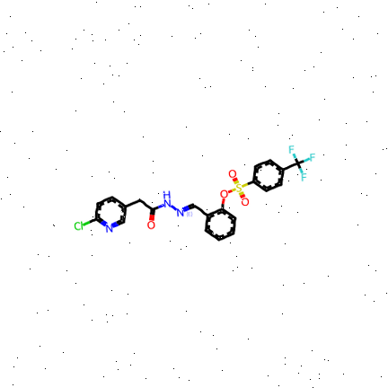 O=C(Cc1ccc(Cl)nc1)N/N=C/c1ccccc1OS(=O)(=O)c1ccc(C(F)(F)F)cc1